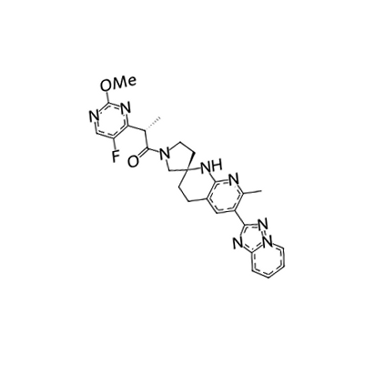 COc1ncc(F)c([C@H](C)C(=O)N2CC[C@@]3(CCc4cc(-c5nc6ccccn6n5)c(C)nc4N3)C2)n1